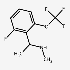 CNC(C)c1c(F)cccc1OC(F)(F)F